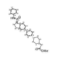 COC(=O)C[C@H]1CC[C@H](c2ccc(-c3ccc4c(c3)CCN4C(=O)Nc3ccccc3)cc2)CC1